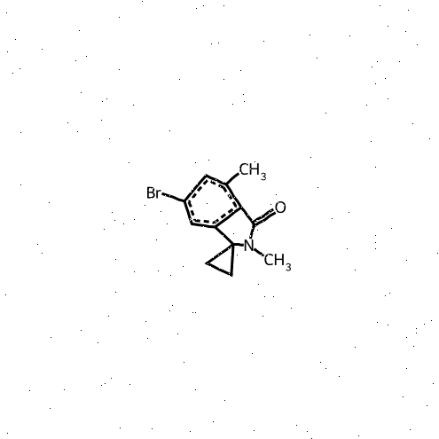 Cc1cc(Br)cc2c1C(=O)N(C)C21CC1